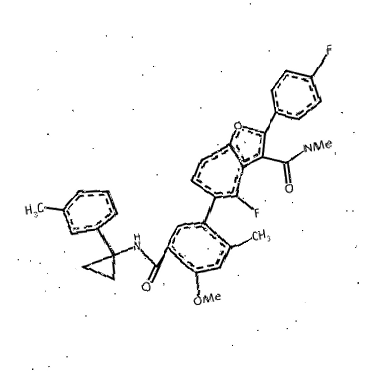 CNC(=O)c1c(-c2ccc(F)cc2)oc2ccc(-c3cc(C(=O)NC4(c5cccc(C)c5)CC4)c(OC)cc3C)c(F)c12